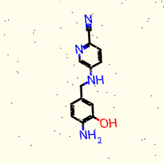 N#Cc1ccc(NCc2ccc(N)c(O)c2)cn1